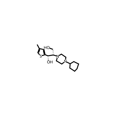 Cc1csc([C@@H](O)[C@H](CO)N2CCN(C3CCCCC3)CC2)c1